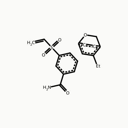 C=CS(=O)(=O)c1cccc(C(N)=O)c1.CCc1cc2ccc1CO2